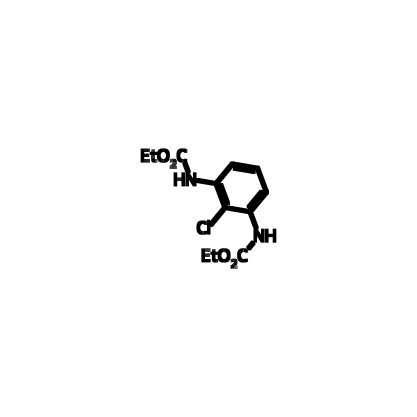 CCOC(=O)Nc1cccc(NC(=O)OCC)c1Cl